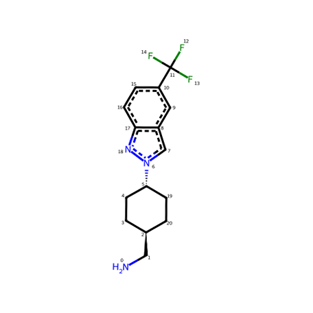 NC[C@H]1CC[C@H](n2cc3cc(C(F)(F)F)ccc3n2)CC1